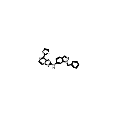 c1ccc(Cn2ncc3ccc(Nc4nc5c(-c6nccs6)nccn5n4)cc32)cc1